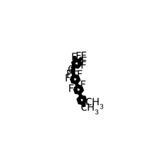 Cc1ccc(-c2cc(F)c(-c3cc(F)c(C(F)(F)Oc4cc(F)c(C(F)(F)F)c(F)c4)c(F)c3)c(F)c2)cc1C